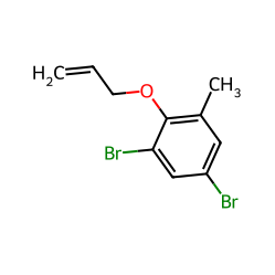 C=CCOc1c(C)cc(Br)cc1Br